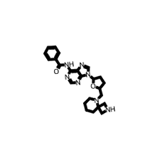 O=C(Nc1ncnc2c1ncn2C1CCC(CN2CCCCC23CNC3)O1)c1ccccc1